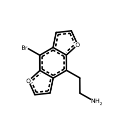 NCCc1c2ccoc2c(Br)c2ccoc12